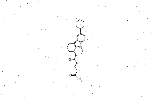 CC(=O)CSCC(=O)N1CCn2c3c(c4cc(C5CCCCC5)ccc42)CCCC31